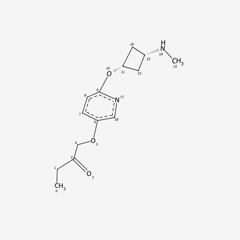 CCC(=O)COc1ccc(O[C@H]2C[C@@H](NC)C2)nc1